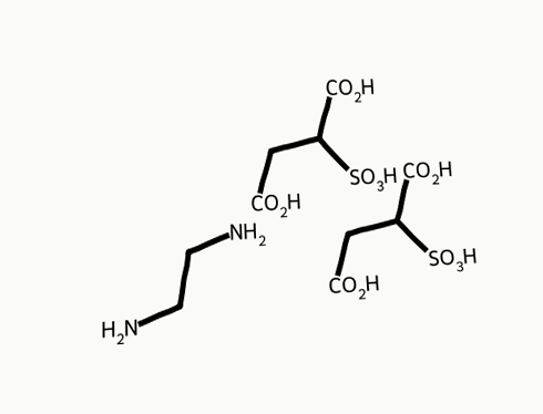 NCCN.O=C(O)CC(C(=O)O)S(=O)(=O)O.O=C(O)CC(C(=O)O)S(=O)(=O)O